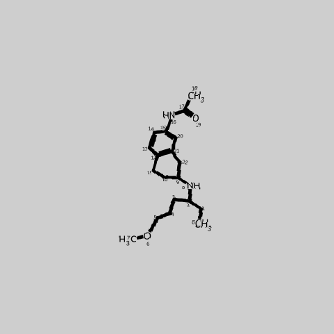 CCC(CCCOC)NC1CCc2ccc(NC(C)=O)cc2C1